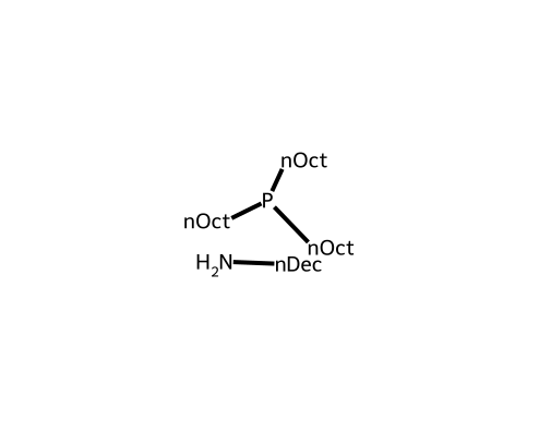 CCCCCCCCCCN.CCCCCCCCP(CCCCCCCC)CCCCCCCC